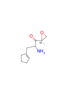 C[C@@]1(C(=O)C(N)CC2=CCCC2)CO1